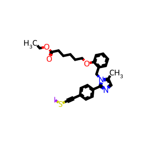 CCOC(=O)CCCCCOc1ccccc1Cn1c(C)cnc1-c1ccc(C#CSI)cc1